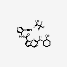 N#Cc1cscc1NC(=O)c1ccc2cnc(N[C@@H]3CCCC[C@@H]3O)nn12.O=C(O)C(F)(F)F